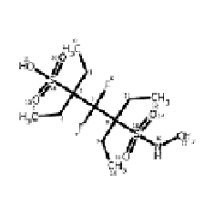 CCC(CC)(C(F)(F)C(CC)(CC)S(=O)(=O)NC)S(=O)(=O)O